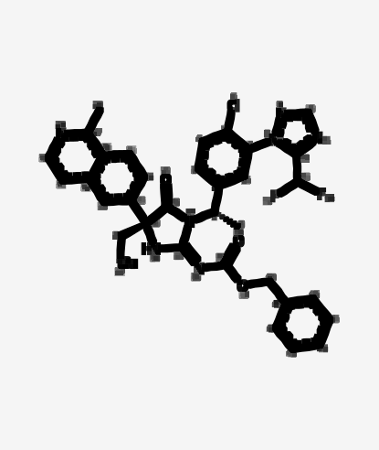 [CH2][C@@H](c1ccc(Cl)c(-n2ncnc2C(F)F)c1)N1C(=O)[C@@](CC(C)(C)C)(c2ccc3c(C)nccc3c2)N/C1=N/C(=O)OCc1ccccc1